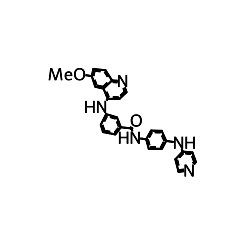 COc1ccc2nccc(Nc3cccc(C(=O)Nc4ccc(Nc5ccncc5)cc4)c3)c2c1